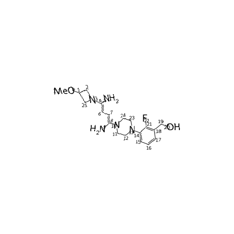 COC1CN(/C(N)=C/C=C(\N)N2CCN(c3cccc(CO)c3F)CC2)C1